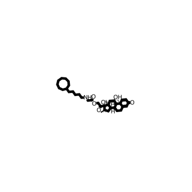 C[C@@H]1CC2[C@@H]3CCC4=CC(=O)C=C[C@]4(C)[C@@]3(F)[C@@H](O)C[C@]2(C)[C@@]1(O)C(=O)COC(=O)CNCCCCCC1CCCCCCCC1